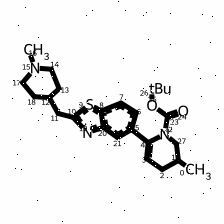 CC1CC=C(c2ccc3sc(CC4CCN(C)CC4)nc3c2)N(C(=O)OC(C)(C)C)C1